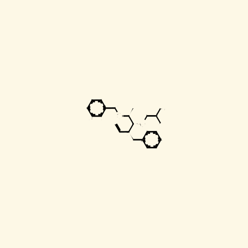 C=C[C@H](Cc1ccccc1)[C@@H](OCC(C)C)[C@H](C)OCc1ccccc1